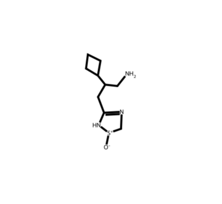 NCC(CC1=NC[S+]([O-])N1)C1CCC1